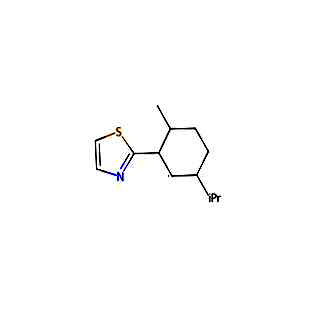 CC(C)C1[CH]C(c2nccs2)C(C)CC1